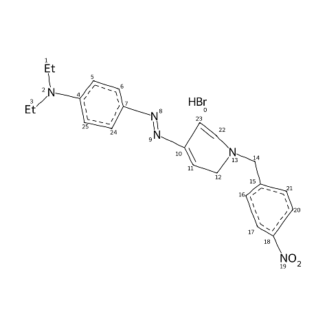 Br.CCN(CC)c1ccc(N=NC2=CCN(Cc3ccc([N+](=O)[O-])cc3)C=C2)cc1